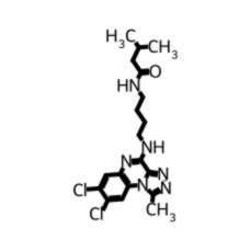 Cc1nnc2c(NCCCCNC(=O)CC(C)C)nc3cc(Cl)c(Cl)cc3n12